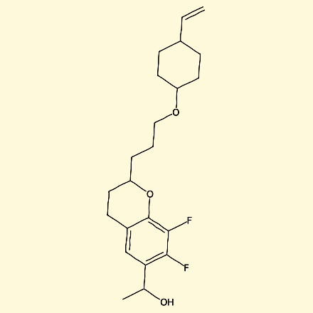 C=CC1CCC(OCCCC2CCc3cc(C(C)O)c(F)c(F)c3O2)CC1